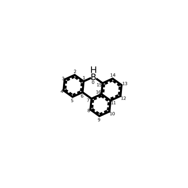 B1c2ccccc2-c2cccc3cccc1c23